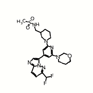 CS(=O)(=O)NCC1CCCN(c2cc(-c3cnc4ccc(C(F)F)nn34)cc(N3CCCOC3)n2)C1